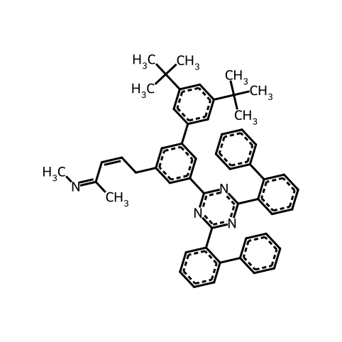 C/N=C(C)\C=C/Cc1cc(-c2cc(C(C)(C)C)cc(C(C)(C)C)c2)cc(-c2nc(-c3ccccc3-c3ccccc3)nc(-c3ccccc3-c3ccccc3)n2)c1